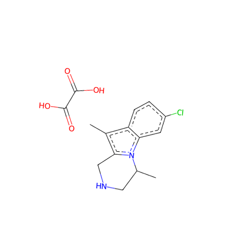 Cc1c2n(c3cc(Cl)ccc13)C(C)CNC2.O=C(O)C(=O)O